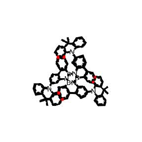 CC1(C)c2ccccc2N(c2ccc3c(c2)N2B(c4ccccc4-3)N3B(c4ccccc4-c4ccc(N5c6ccccc6C(C)(C)c6ccccc65)cc43)N3B2c2ccccc2-c2ccc(N4c5ccccc5C(C)(C)c5ccccc54)cc23)c2ccccc21